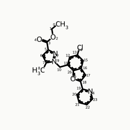 CCOC(=O)c1cc(C)n(Cc2cc(Cl)cc3cc(-c4ccccn4)oc23)n1